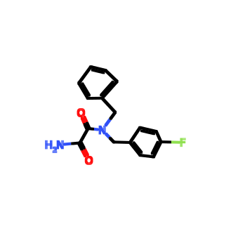 NC(=O)C(=O)N(Cc1ccccc1)Cc1ccc(F)cc1